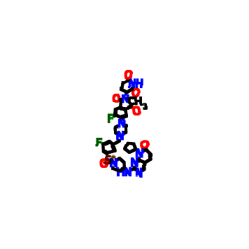 CN(C(=O)c1cc(F)c(N2CCN(Cc3cc(F)cc([S+]([O-])N4CCC(Nc5ncc6ccc(=O)n(C7CCCC7)c6n5)CC4)c3)CC2)cc1C=O)C1CCC(=O)NC1=O